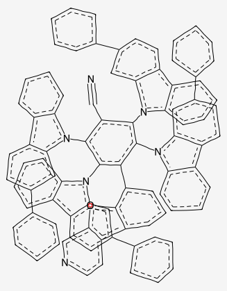 N#Cc1c(-n2c3ccccc3c3ccc(-c4ccccc4)cc32)c(-n2c3ccccc3c3ccc(-c4ccccc4)cc32)c(-c2cccc3c2oc2cnccc23)c(-n2c3ccccc3c3ccc(-c4ccccc4)cc32)c1-n1c2ccccc2c2ccc(-c3ccccc3)cc21